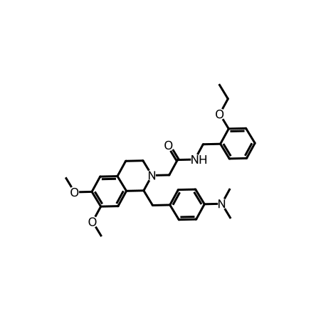 CCOc1ccccc1CNC(=O)CN1CCc2cc(OC)c(OC)cc2C1Cc1ccc(N(C)C)cc1